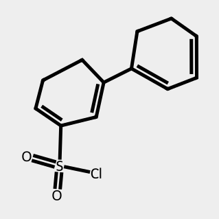 O=S(=O)(Cl)C1=CCCC(C2=CC=CCC2)=C1